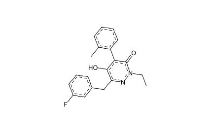 CCn1nc(Cc2cccc(F)c2)c(O)c(-c2ccccc2C)c1=O